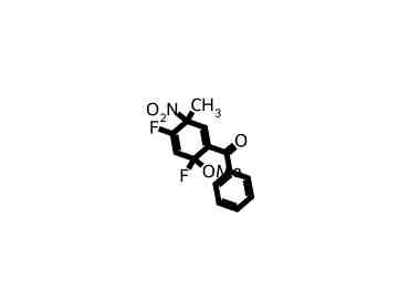 COC1(F)C=C(F)C(C)([N+](=O)[O-])C=C1C(=O)c1ccccc1